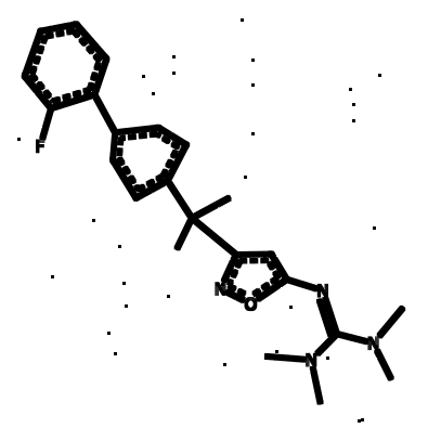 CN(C)C(=Nc1cc(C(C)(C)c2ccc(-c3ccccc3F)cc2)no1)N(C)C